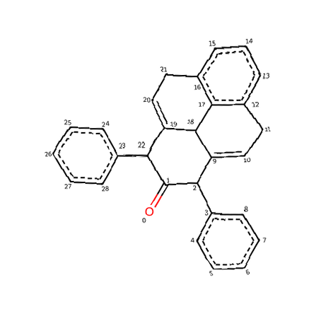 O=C1C(c2ccccc2)C2=CCc3cccc4c3C2C(=CC4)C1c1ccccc1